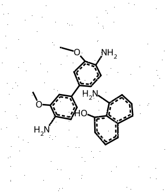 COc1cc(-c2ccc(N)c(OC)c2)ccc1N.Nc1cccc2cccc(O)c12